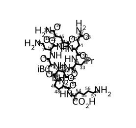 CCC(C)C(N)C(=O)NC(CC(N)=O)C(=O)NC(CCC(N)=O)C(=O)NC(CCC(N)=O)C(=O)NC(CC(C)C)C(=O)NC(CC(N)=O)C(=O)N1CCCC1C(=O)NC(CCCCN)C(=O)O